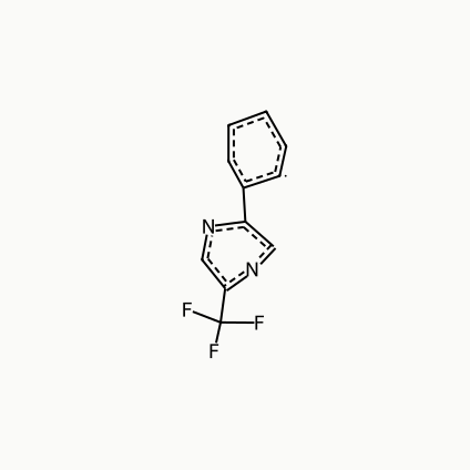 FC(F)(F)c1cnc(-c2[c]cccc2)cn1